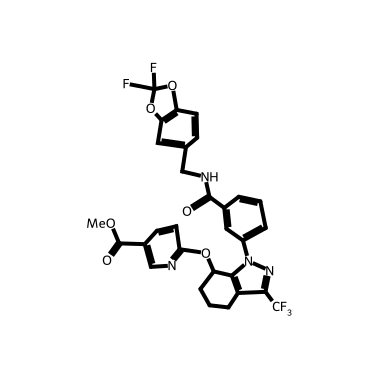 COC(=O)c1ccc(OC2CCCc3c(C(F)(F)F)nn(-c4cccc(C(=O)NCc5ccc6c(c5)OC(F)(F)O6)c4)c32)nc1